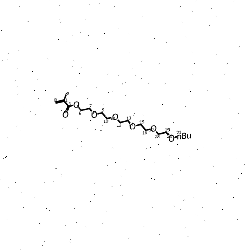 C=C(C)C(=O)OCCOCCOCCOCCOCCOCCCC